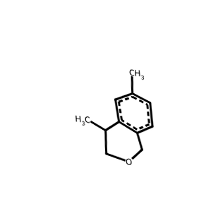 Cc1ccc2c(c1)C(C)COC2